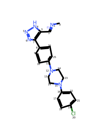 C/N=C/c1[nH]nnc1-c1ccc(N2CCN(c3ccc(Cl)cc3)CC2)cc1